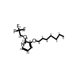 CCCCCCCOc1cccnc1OCC(F)(F)F